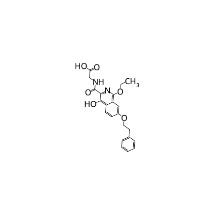 CCOc1nc(C(=O)NCC(=O)O)c(O)c2ccc(OCCc3ccccc3)cc12